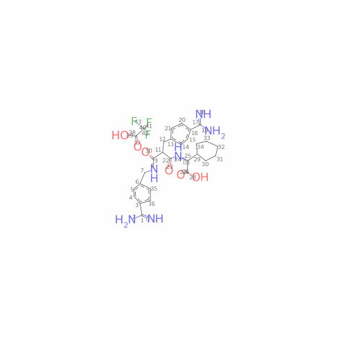 N=C(N)c1ccc(CNC(=O)C(Cc2ccc(C(=N)N)cc2)C(=O)N[C@H](C(=O)O)C2CCCCC2)cc1.O=C(O)C(F)(F)F